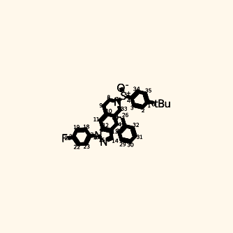 CC(C)(C)c1ccc([S+]([O-])N2CCC3=Cc4c(cnn4-c4ccc(F)cc4)C[C@]3(Cc3ccccc3)C2)cc1